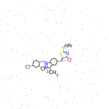 CCCSC1=NC(=O)/C(=C/c2ccc3c(c2)c(C)nn3Cc2ccc(Cl)cc2C(F)(F)F)S1